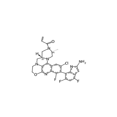 C=CC(=O)N1C[C@H]2CN3CCOc4nc5c(F)c(-c6c(F)cc(F)c7sc(N)nc67)c(Cl)cc5c(c43)N2C[C@H]1C